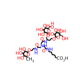 C[C@@H]1O[C@@H](OCCNC(=O)CN(CC(=O)NCCCCCC(=O)O)CC(=O)NC(CCO[C@H]2O[C@H](CO)[C@@H](O)[C@H](O)[C@@H]2O)CO[C@H]2O[C@H](CO)[C@@H](O)[C@H](O)[C@@H]2O)[C@@H](O)[C@H](O)[C@@H]1O